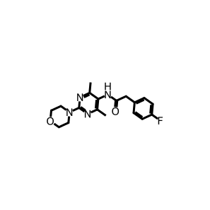 Cc1nc(N2CCOCC2)nc(C)c1NC(=O)Cc1ccc(F)cc1